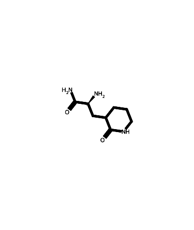 NC(=O)[C@@H](N)CC1CCCNC1=O